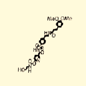 COc1ccc(CCC(=O)NCCc2ccc(S(=O)(=O)NC(=O)c3ccc(OC(=O)NCCO)nc3)cc2)cc1OC